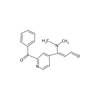 CN(C)C(=CC=O)c1ccnc(C(=O)c2ccccc2)c1